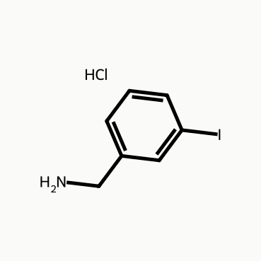 Cl.NCc1cccc(I)c1